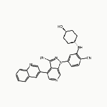 CC(C)c1nn(-c2ccc(C#N)c(N[C@H]3CC[C@H](O)CC3)c2)c2cncc(-c3cnc4ccccc4c3)c12